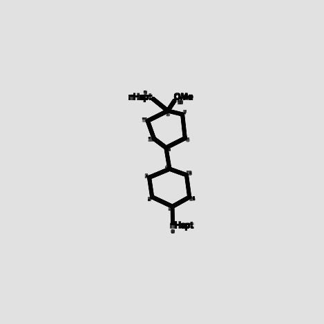 CCCCCCCC1CCC(C2CCC(CCCCCCC)(OC)CC2)CC1